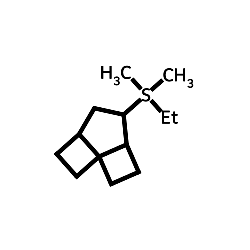 CCS(C)(C)C1CC2CCC23CCC13